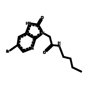 CCCCNC(=O)Cn1c(=O)[nH]c2cc(Br)cnc21